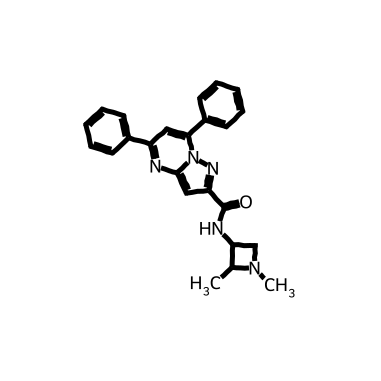 CC1C(NC(=O)c2cc3nc(-c4ccccc4)cc(-c4ccccc4)n3n2)CN1C